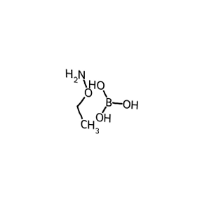 CCON.OB(O)O